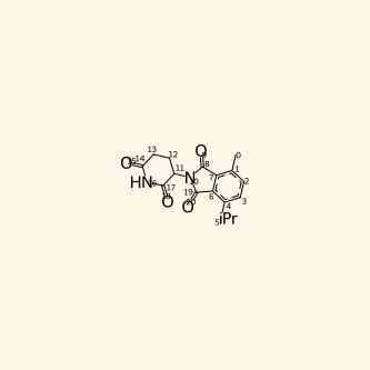 Cc1ccc(C(C)C)c2c1C(=O)N(C1CCC(=O)NC1=O)C2=O